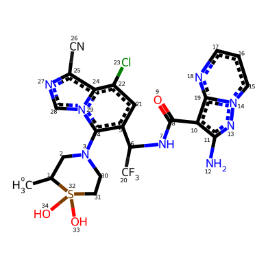 CC1CN(c2c(C(NC(=O)c3c(N)nn4cccnc34)C(F)(F)F)cc(Cl)c3c(C#N)ncn23)CCS1(O)O